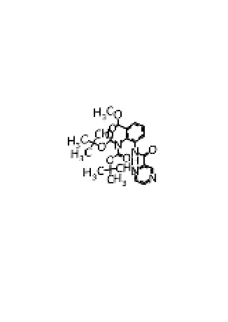 COC(=O)c1cccc(NC(=O)c2cnccn2)c1N(C(=O)OC(C)(C)C)C(=O)OC(C)(C)C